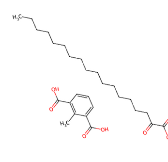 CCCCCCCCCCCCCCCCC(=O)C(=O)O.Cc1c(C(=O)O)cccc1C(=O)O